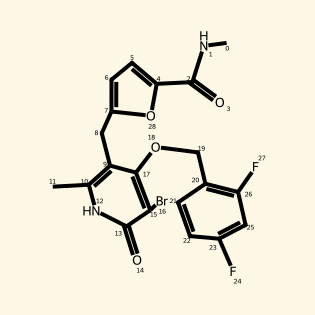 CNC(=O)c1ccc(Cc2c(C)[nH]c(=O)c(Br)c2OCc2ccc(F)cc2F)o1